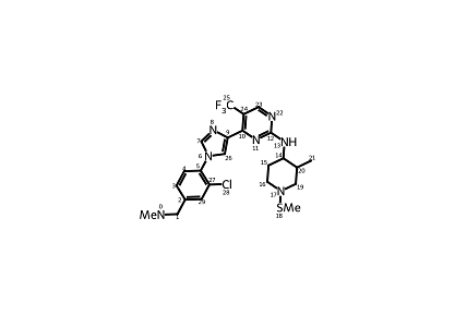 CNCc1ccc(-n2cnc(-c3nc(NC4CCN(SC)CC4C)ncc3C(F)(F)F)c2)c(Cl)c1